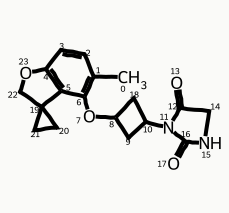 Cc1ccc2c(c1OC1CC(N3C(=O)CNC3=O)C1)C1(CC1)CO2